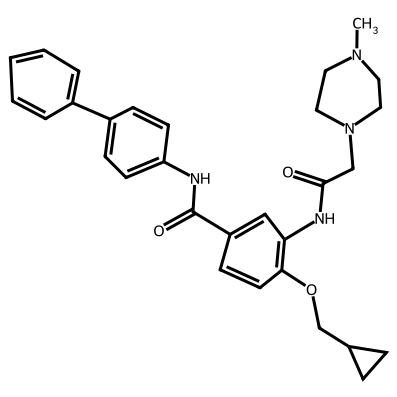 CN1CCN(CC(=O)Nc2cc(C(=O)Nc3ccc(-c4ccccc4)cc3)ccc2OCC2CC2)CC1